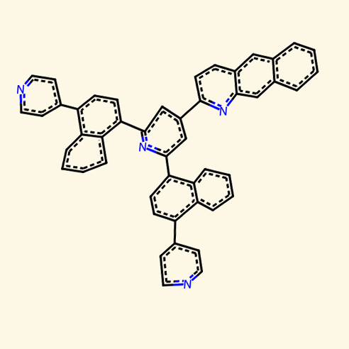 c1ccc2cc3nc(-c4cc(-c5ccc(-c6ccncc6)c6ccccc56)nc(-c5ccc(-c6ccncc6)c6ccccc56)c4)ccc3cc2c1